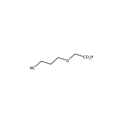 N#CCCCOCC(=O)O